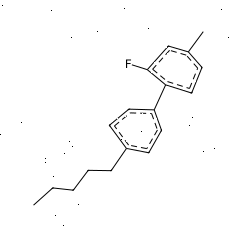 CCCCCc1ccc(-c2ccc(C)cc2F)cc1